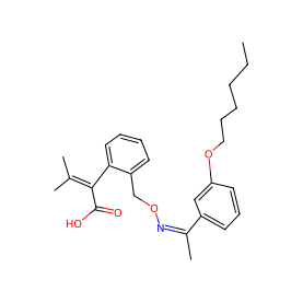 CCCCCCOc1cccc(/C(C)=N\OCc2ccccc2C(C(=O)O)=C(C)C)c1